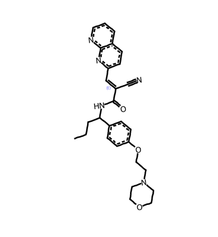 CCCC(NC(=O)/C(C#N)=C/c1ccc2cccnc2n1)c1ccc(OCCN2CCOCC2)cc1